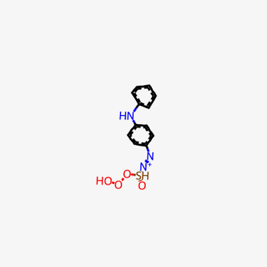 O=[SH](=[N+]=Nc1ccc(Nc2ccccc2)cc1)OOO